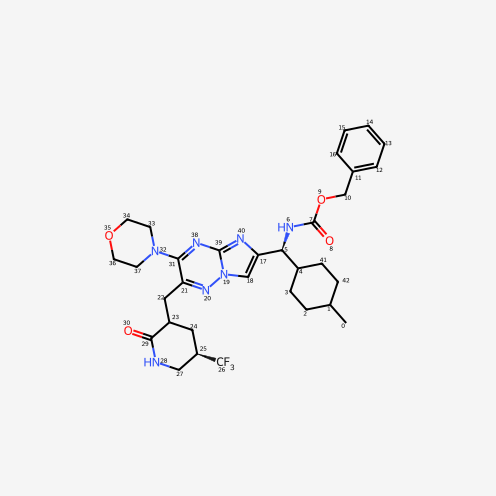 CC1CCC([C@H](NC(=O)OCc2ccccc2)c2cn3nc(CC4C[C@@H](C(F)(F)F)CNC4=O)c(N4CCOCC4)nc3n2)CC1